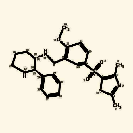 Cc1nc(C)c(S(=O)(=O)c2ccc(OC(F)(F)F)c(CN[C@H]3CCCN[C@@H]3c3ccccc3)c2)s1